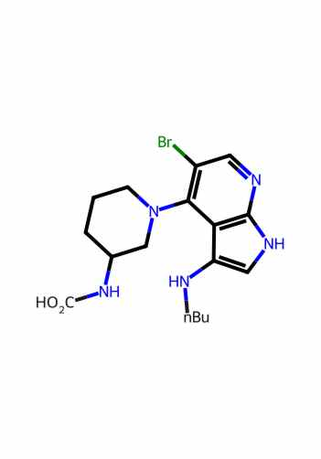 CCCCNc1c[nH]c2ncc(Br)c(N3CCCC(NC(=O)O)C3)c12